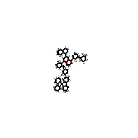 c1ccc(-c2cccc(-c3ccc(N(c4ccc(-c5ccc6c(c5)C(c5ccccc5)(c5ccccc5)c5ccccc5-6)cc4)c4ccccc4-c4cccc(-c5cccc6ccccc56)c4)cc3)c2)cc1